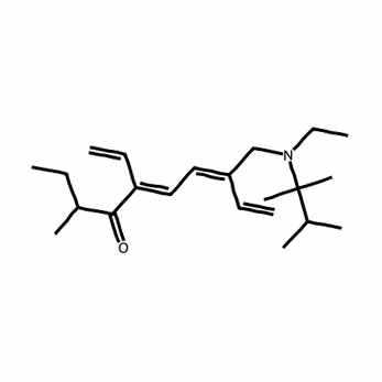 C=C/C(=C\C=C(/C=C)C(=O)C(C)CC)CN(CC)C(C)(C)C(C)C